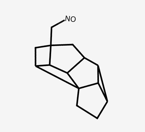 O=NCC12CC3C4C5CCC6(C(C1)C2C36)C54